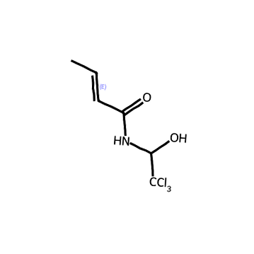 C/C=C/C(=O)NC(O)C(Cl)(Cl)Cl